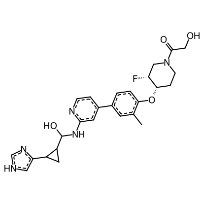 Cc1cc(-c2ccnc(NC(O)C3CC3c3c[nH]cn3)c2)ccc1O[C@H]1CCN(C(=O)CO)C[C@H]1F